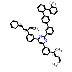 C=C/C(=C\C=C1\C=CC=CC1)c1cccc(-c2cc(-c3cccc(/C(C)=C/C=C\C)c3)nc(-c3cccc(-c4ccc(-c5ccccc5-c5ccccc5C)cc4)c3)n2)c1